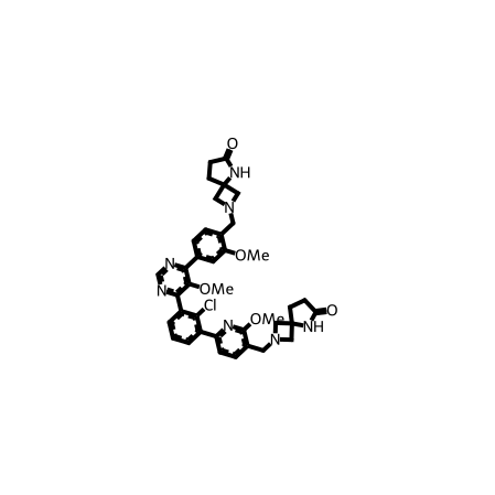 COc1cc(-c2ncnc(-c3cccc(-c4ccc(CN5CC6(CCC(=O)N6)C5)c(OC)n4)c3Cl)c2OC)ccc1CN1CC2(CCC(=O)N2)C1